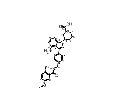 COc1ccc(F)c(C(=O)NCc2ccc(-c3nn([C@@H]4CCCN(C(=O)O)C4)c4ncnc(N)c34)cc2)c1